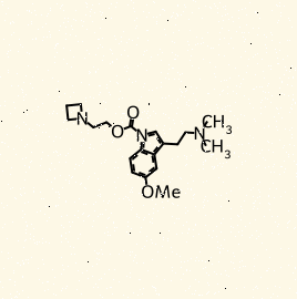 COc1ccc2c(c1)c(CCN(C)C)cn2C(=O)OCCN1CCC1